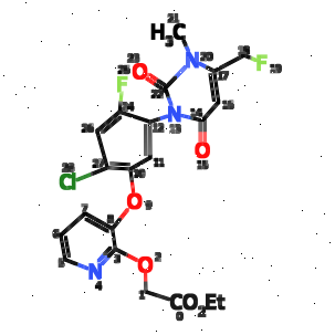 CCOC(=O)COc1ncccc1Oc1cc(-n2c(=O)cc(CF)n(C)c2=O)c(F)cc1Cl